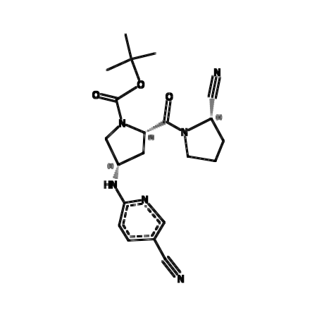 CC(C)(C)OC(=O)N1C[C@@H](Nc2ccc(C#N)cn2)C[C@H]1C(=O)N1CCC[C@H]1C#N